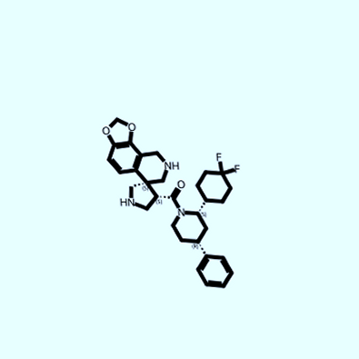 O=C([C@@H]1CNC[C@]12CNCc1c2ccc2c1OCO2)N1CC[C@@H](c2ccccc2)C[C@H]1C1CCC(F)(F)CC1